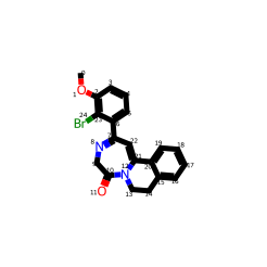 COc1cccc(C2=NCC(=O)N3CCc4ccccc4C3=C2)c1Br